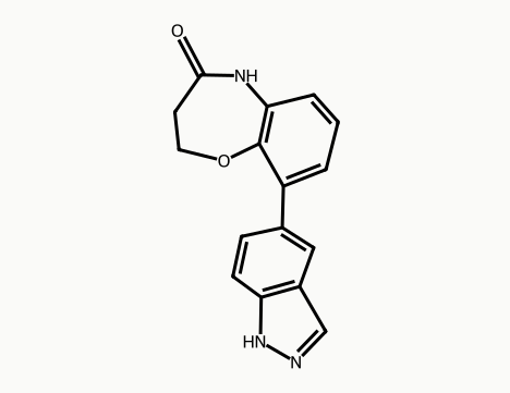 O=C1CCOc2c(cccc2-c2ccc3[nH]ncc3c2)N1